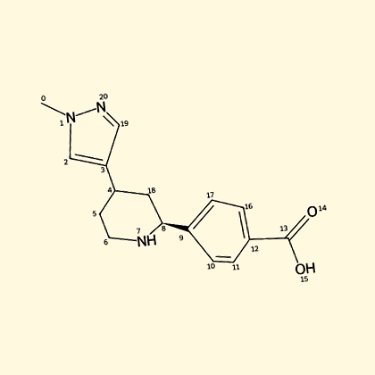 Cn1cc(C2CCN[C@H](c3ccc(C(=O)O)cc3)C2)cn1